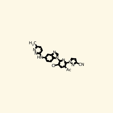 CC(=O)c1cc(Cl)c(-n2cnc3cc(Nc4ccc(C)nn4)ccc32)nc1-n1ccc(C#N)n1